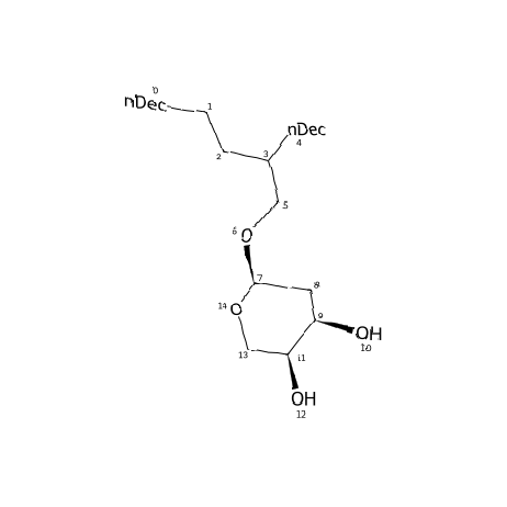 CCCCCCCCCCCCC(CCCCCCCCCC)CO[C@H]1C[C@@H](O)[C@@H](O)CO1